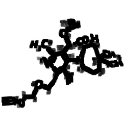 CCOCCOCc1nc(C)c([C@H](OC(C)(C)C)C(=O)O)c(N2CCC(C)(C)CC2)c1Br